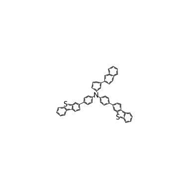 c1cc(-c2ccc3ccccc3c2)cc(N(c2ccc(-c3ccc4c(c3)sc3ccccc34)cc2)c2ccc(-c3ccc4c(c3)sc3ccccc34)cc2)c1